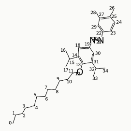 CCCCCCCCCCCCOc1c(C(C)C)cc(/N=N/c2ccc(C)c(C)c2)cc1C(C)C